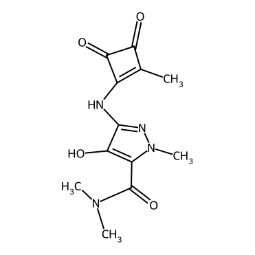 Cc1c(Nc2nn(C)c(C(=O)N(C)C)c2O)c(=O)c1=O